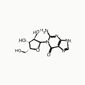 Nc1nc2[nH]cnc2c(=O)n1C1O[C@H](CO)[C@H](O)[C@H]1O